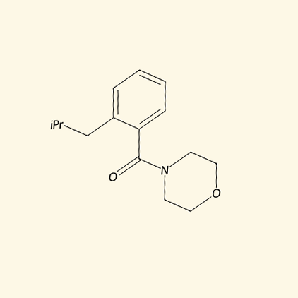 [CH2]C(C)Cc1ccccc1C(=O)N1CCOCC1